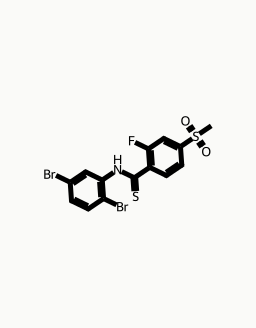 CS(=O)(=O)c1ccc(C(=S)Nc2cc(Br)ccc2Br)c(F)c1